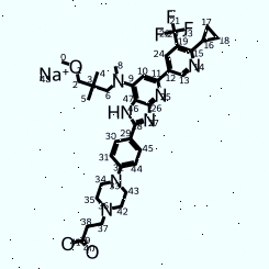 COCC(C)(C)CN(C)c1cc(-c2cnc(C3CC3)c(C(F)(F)F)c2)nc2nc(-c3ccc(N4CCN(CCC(=O)[O-])CC4)cc3)[nH]c12.[Na+]